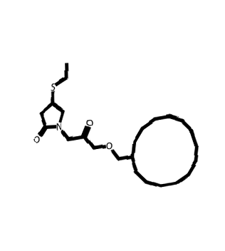 CCSC1CC(=O)N(CC(=O)COCC2CCCCCCCCCCCCC2)C1